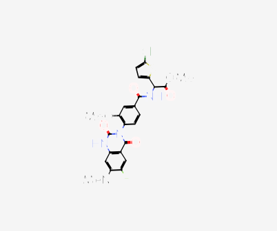 CNc1cc2[nH]c(=O)n(-c3ccc(C(=O)NC(C(=O)OC)c4ccc(Cl)s4)cc3OC)c(=O)c2cc1F